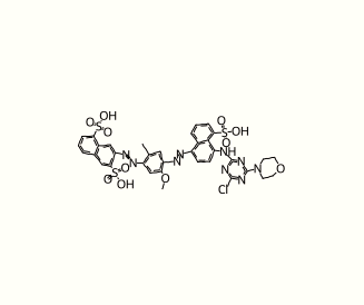 COc1cc(N=Nc2cc3c(S(=O)(=O)O)cccc3cc2S(=O)(=O)O)c(C)cc1N=Nc1ccc(Nc2nc(Cl)nc(N3CCOCC3)n2)c2c(S(=O)(=O)O)cccc12